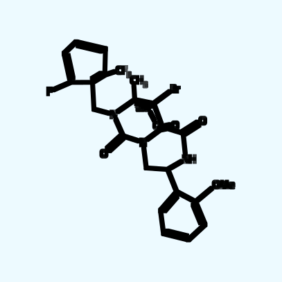 COc1ccccc1C(Cn1c(=O)c(Br)c(C)n(Cc2c(F)cccc2C(F)(F)F)c1=O)NC(=O)OC(C)(C)C